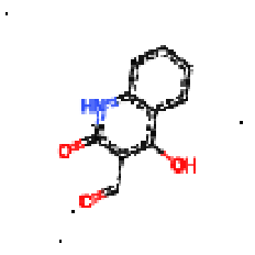 O=Cc1c(O)c2ccccc2[nH]c1=O